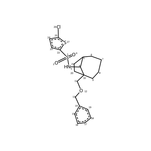 O=S(=O)(NC1C2CCCCC1(COCc1ccccc1)CC2)c1ccc(Cl)s1